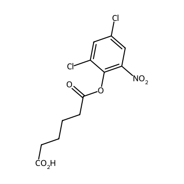 O=C(O)CCCCC(=O)Oc1c(Cl)cc(Cl)cc1[N+](=O)[O-]